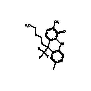 CCOCCC1(C(F)(F)F)c2cc(F)ccc2Nc2c1ccn(C)c2=O